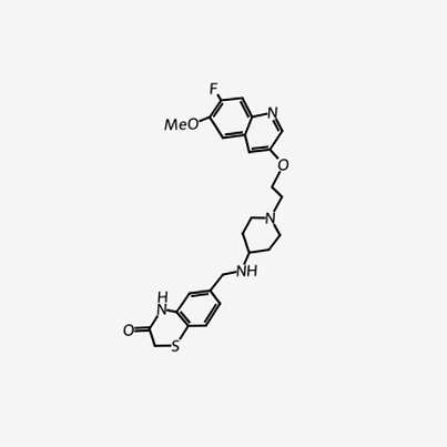 COc1cc2cc(OCCN3CCC(NCc4ccc5c(c4)NC(=O)CS5)CC3)cnc2cc1F